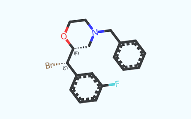 Fc1cccc([C@H](Br)[C@H]2CN(Cc3ccccc3)CCO2)c1